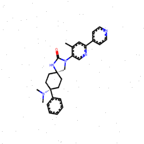 Cc1cc(-c2ccncc2)ncc1N1C[C@]2(CC[C@@](c3ccccc3)(N(C)C)CC2)NC1=O